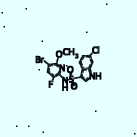 COc1nc(NS(=O)(=O)c2c[nH]c3cc(Cl)ccc23)c(F)cc1Br